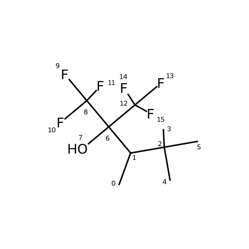 CC(C(C)(C)C)C(O)(C(F)(F)F)C(F)(F)F